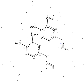 C/C=C/c1ccc(OC(C)=O)c(OC)c1.C=CCc1ccc(OC(C)=O)c(OC)c1